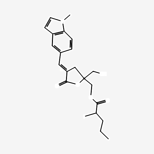 CCCC(I)C(=O)OCC1(CO)C/C(=C\c2ccc3c(ccn3C)c2)C(=O)O1